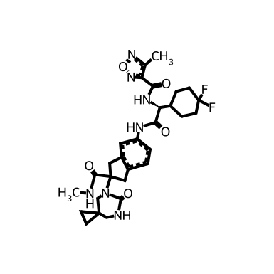 CNC(=O)C1(N2CC3(CC3)CNC2=O)Cc2ccc(NC(=O)[C@@H](NC(=O)c3nonc3C)C3CCC(F)(F)CC3)cc2C1